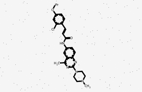 Cc1nc(N2CCN(C)CC2)nc2ccc(NC(=O)C=Cc3ccc(OC(C)C)cc3Cl)cc12